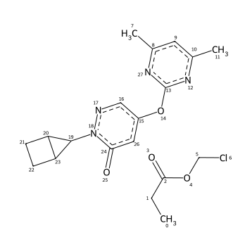 CCC(=O)OCCl.Cc1cc(C)nc(Oc2cnn(C3C4CCC43)c(=O)c2)n1